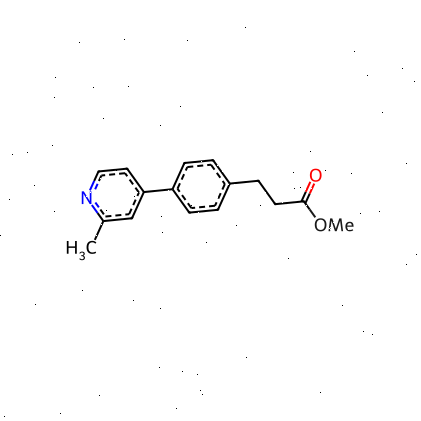 COC(=O)CCc1ccc(-c2ccnc(C)c2)cc1